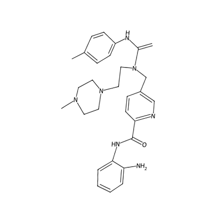 C=C(Nc1ccc(C)cc1)N(CCN1CCN(C)CC1)Cc1ccc(C(=O)Nc2ccccc2N)nc1